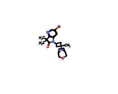 CC1(C)C(=O)N(C2CC(C)(N3C4CCC3COC4)C2)c2cc(Br)cnc21